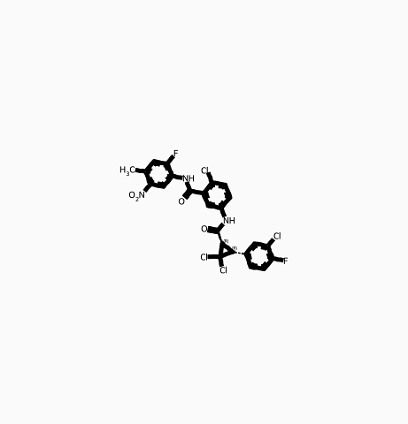 Cc1cc(F)c(NC(=O)c2cc(NC(=O)[C@H]3[C@H](c4ccc(F)c(Cl)c4)C3(Cl)Cl)ccc2Cl)cc1[N+](=O)[O-]